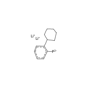 [Li+].[Li+].[P-2]c1ccccc1C1CCCCC1